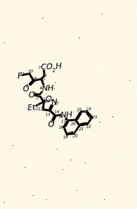 CCC1(C(=O)NC(CC(=O)O)C(=O)CF)CC(C(=O)Nc2cccc3ccccc23)=NO1